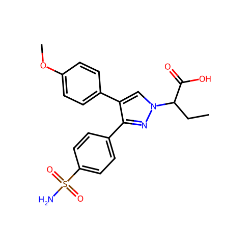 CCC(C(=O)O)n1cc(-c2ccc(OC)cc2)c(-c2ccc(S(N)(=O)=O)cc2)n1